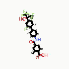 Cc1cc(C(=O)Nc2ccc(-c3ccc(C(O)(C(F)(F)F)C(F)(F)F)cc3F)cc2)ccc1C(=O)O